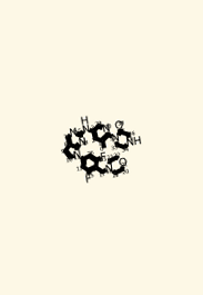 Cc1cc(Nc2ncc3ccn(-c4cc(F)c(CN5CCOCC5)c(F)c4)c3n2)cnc1N1CCNCC1=O